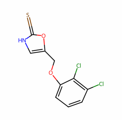 S=c1[nH]cc(COc2cccc(Cl)c2Cl)o1